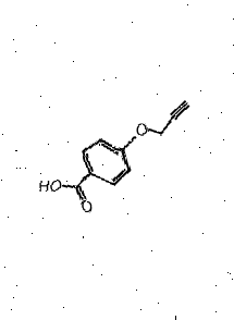 C#CCOc1ccc(C(=O)O)cc1